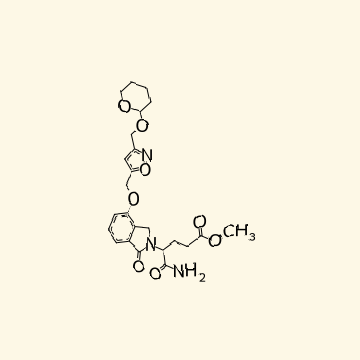 COC(=O)CCC(C(N)=O)N1Cc2c(OCc3cc(COC4CCCCO4)no3)cccc2C1=O